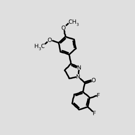 COc1ccc(C2=NN(C(=O)c3cccc(F)c3F)CC2)cc1OC